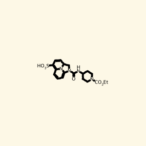 CCOC(=O)N1CCC(NC(=O)N2CC3C=CC(S(=O)(=O)O)=C4C=CC=C2N43)CC1